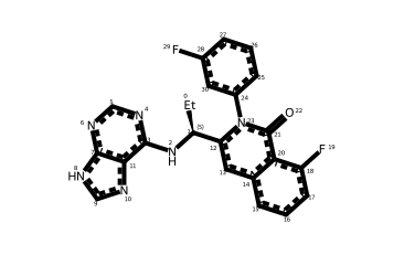 CC[C@H](Nc1ncnc2[nH]cnc12)c1cc2cccc(F)c2c(=O)n1-c1cccc(F)c1